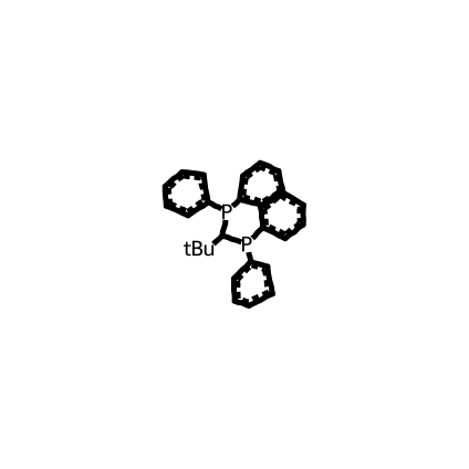 CC(C)(C)C(P(c1ccccc1)c1ccccc1)P(c1ccccc1)c1ccccc1